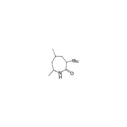 CC1CC(C)NC(=O)C(C(C)(C)C)C1